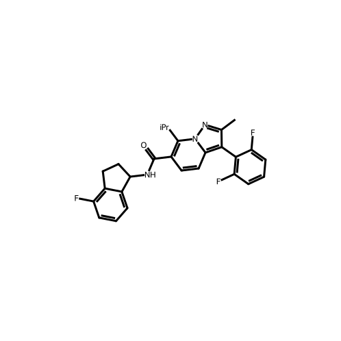 Cc1nn2c(C(C)C)c(C(=O)NC3CCc4c(F)cccc43)ccc2c1-c1c(F)cccc1F